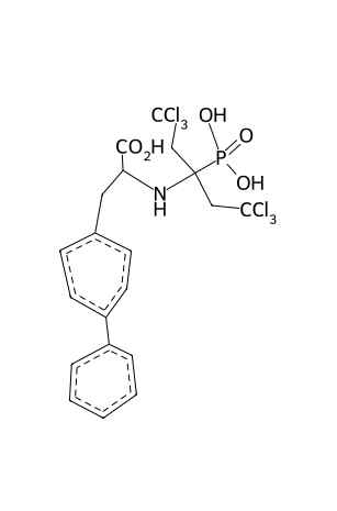 O=C(O)C(Cc1ccc(-c2ccccc2)cc1)NC(CC(Cl)(Cl)Cl)(CC(Cl)(Cl)Cl)P(=O)(O)O